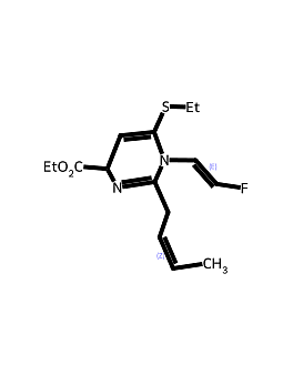 C/C=C\CC1=NC(C(=O)OCC)C=C(SCC)N1/C=C/F